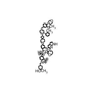 COc1cc(CN2CCN(C3CC4(CCN(c5ccc(C(=O)NS(=O)(=O)c6ccc(NCC7CCC(C)(O)CC7)c([N+](=O)[O-])c6)c(N6C[C@@H]7COCCCN7c7nc8[nH]ccc8cc76)c5)CC4)C3)[C@H](c3ccccc3C)C2)cnc1N1CCOCC1